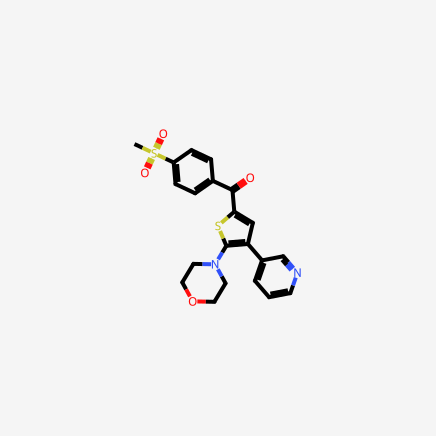 CS(=O)(=O)c1ccc(C(=O)c2cc(-c3cccnc3)c(N3CCOCC3)s2)cc1